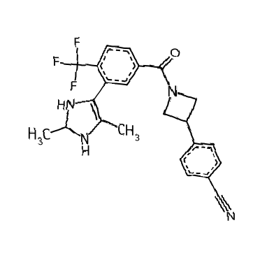 CC1=C(c2cc(C(=O)N3CC(c4ccc(C#N)cc4)C3)ccc2C(F)(F)F)NC(C)N1